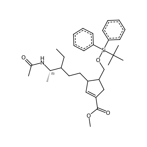 CCC(CCC1C=C(C(=O)OC)CC1CO[Si](c1ccccc1)(c1ccccc1)C(C)(C)C)[C@H](C)NC(C)=O